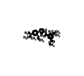 CCC[C@@H]1C[C@H](N(C)C(C)C)CC[C@@H]1N1CC[C@H](NC(=O)c2cc(C(=O)OC)cc(C(C)(C)C)c2)C1=O